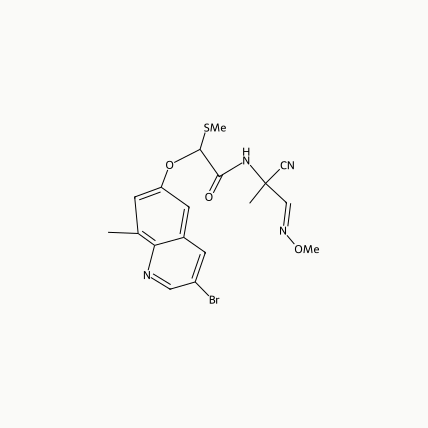 CON=CC(C)(C#N)NC(=O)C(Oc1cc(C)c2ncc(Br)cc2c1)SC